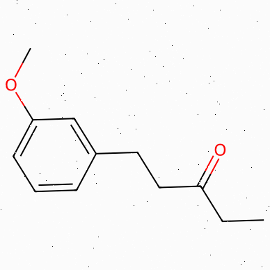 CCC(=O)CCc1cccc(OC)c1